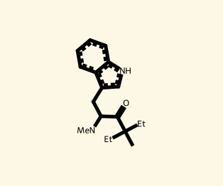 CCC(C)(CC)C(=O)C(Cc1c[nH]c2ccccc12)NC